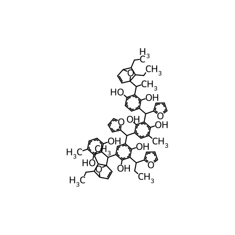 CCC(c1ccco1)c1c(O)c(C(c2ccco2)c2cc(C)c(O)c(C(c3ccco3)c3ccc(O)c(C(C)C45C=CC(O4)C(CC)C5CC)c3O)c2O)cc(C(c2c(O)ccc(C)c2O)C23C=CC(O2)C(CC)C3CC)c1O